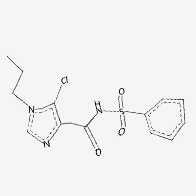 CCCn1cnc(C(=O)NS(=O)(=O)c2ccccc2)c1Cl